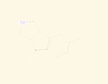 CCc1cc2c(cc1Cl)C(=O)C1CNCC21